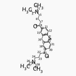 CCN(CC)CCCC(=O)c1ccc2c(c1)Cc1cc(C(=O)CCCN(CC)CC)ccc1S2